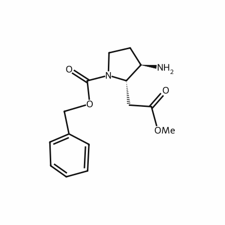 COC(=O)C[C@H]1[C@H](N)CCN1C(=O)OCc1ccccc1